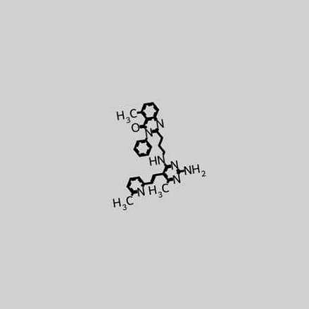 Cc1cccc(/C=C/c2c(C)nc(N)nc2NCCCc2nc3cccc(C)c3c(=O)n2-c2ccccc2)n1